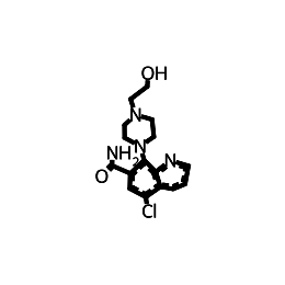 NC(=O)c1cc(Cl)c2cccnc2c1N1CCN(CCO)CC1